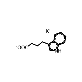 O=C([O-])CCCc1c[nH]c2ccccc12.[K+]